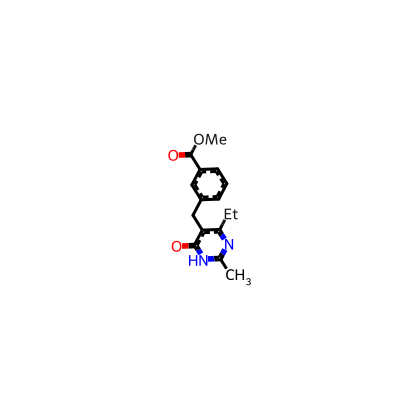 CCc1nc(C)[nH]c(=O)c1Cc1cccc(C(=O)OC)c1